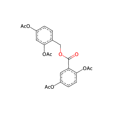 CC(=O)Oc1ccc(COC(=O)c2cc(OC(C)=O)ccc2OC(C)=O)c(OC(C)=O)c1